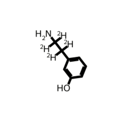 [2H]C([2H])(N)C([2H])([2H])c1cccc(O)c1